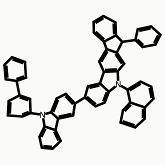 c1ccc(-c2cccc(-n3c4ccccc4c4cc(-c5ccc6c(c5)c5cc7c(cc5n6-c5cccc6ccccc56)C(c5ccccc5)c5ccccc5-7)ccc43)c2)cc1